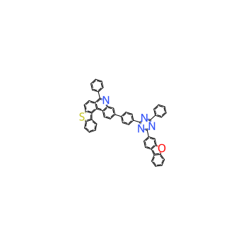 c1ccc(-c2nc(-c3ccc(-c4ccc5c(c4)nc(-c4ccccc4)c4ccc6sc7ccccc7c6c45)cc3)nc(-c3ccc4c(c3)oc3ccccc34)n2)cc1